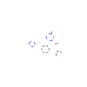 COc1c(C(=O)Nc2cnoc2)nc(C(C)C(c2cn(C)cn2)c2ccccc2C#N)n(C)c1=O